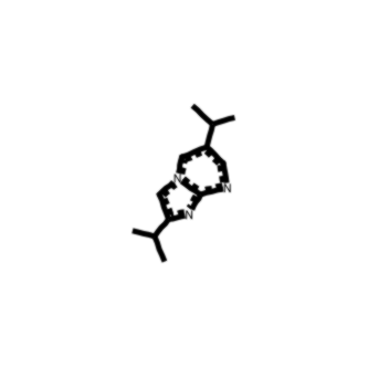 CC(C)c1cnc2nc(C(C)C)cn2c1